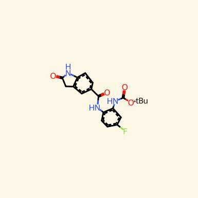 CC(C)(C)OC(=O)Nc1cc(F)ccc1NC(=O)c1ccc2c(c1)CC(=O)N2